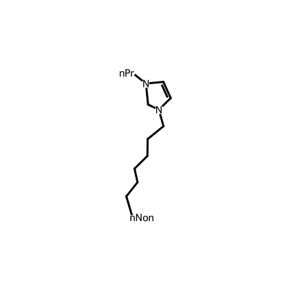 CCCCCCCCCCCCCCCN1C=CN(CCC)C1